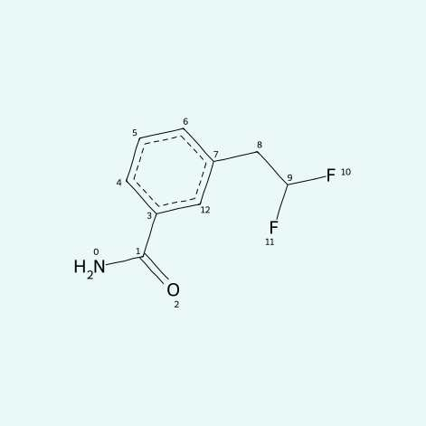 NC(=O)c1cccc(CC(F)F)c1